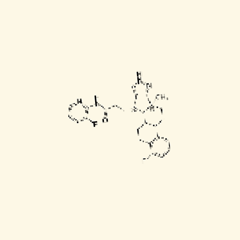 C[C@]12CCC3c4cccc(F)c4CCC3C1[C@H](CCC(=O)Nc1ncccc1F)c1c[nH]nc12